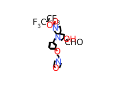 O=C(OC(C(F)(F)F)C(F)(F)F)N1CCC2(CCCN2Cc2cccc(OCCN3CCOCC3)c2)CC1.O=CO